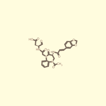 CC(=O)N1C[C@H](NC(=O)/C=C/c2ccc3c(c2)OCO3)C(=O)N(CC(=O)N[C@H](C=O)CC(=O)O)c2ccccc21